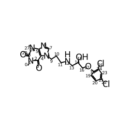 Cn1c(=O)c2c(ncn2CCCNCC(O)COc2ccc(Cl)cc2Cl)n(C)c1=O